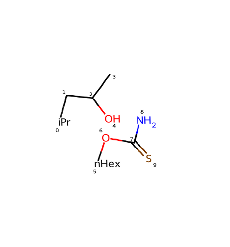 CC(C)CC(C)O.CCCCCCOC(N)=S